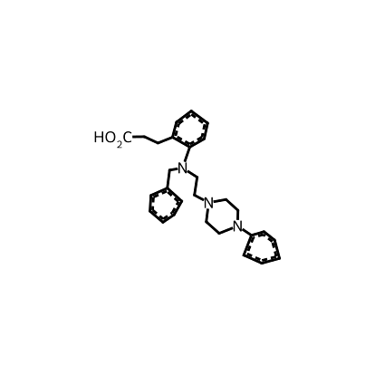 O=C(O)CCc1ccccc1N(CCN1CCN(c2ccccc2)CC1)Cc1ccccc1